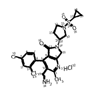 Cc1nc2c(c(-c3ccc(Cl)cc3Cl)c1CN)C(=O)N([C@H]1CCN(S(=O)(=O)C3CC3)C1)C2.Cl